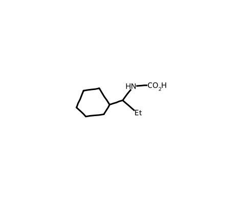 [CH2]CC(NC(=O)O)C1CCCCC1